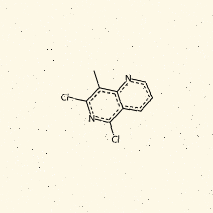 Cc1c(Cl)nc(Cl)c2cccnc12